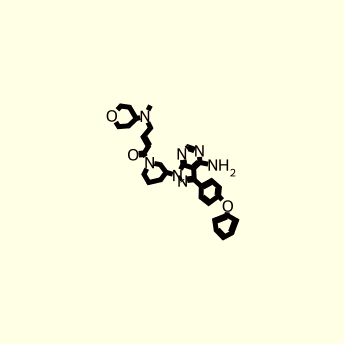 CN(CC=CC(=O)N1CCCC(n2nc(-c3ccc(Oc4ccccc4)cc3)c3c(N)ncnc32)C1)C1CCOCC1